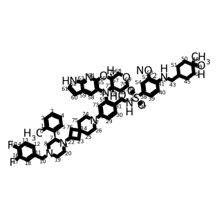 Cc1ccccc1[C@@H]1CN(Cc2ccc(F)c(F)c2)CCN1C1CC2(CCN(c3ccc(C(=O)NS(=O)(=O)c4ccc(NCC5CCC(C)(O)CC5)c([N+](=O)[O-])c4)c(N4c5cc6cc[nH]c6nc5O[C@H]5COCC[C@@H]54)c3)CC2)C1